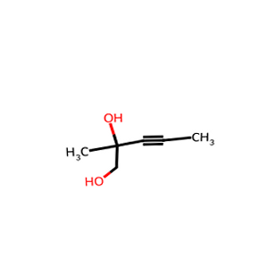 CC#CC(C)(O)CO